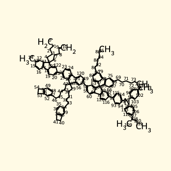 C=CCCCC1(CCCC=C)c2cc(C)ccc2-c2ccc(-c3ccc4c(c3)C(CCCCCc3ccc5c(c3)CC5)(CCCCCc3ccc5c(c3)CC5)c3cc(-c5ccc6c(c5)C(c5ccc(CCCCCC)cc5)(c5ccc(CCCCCC)cc5)c5cc(-c7ccc(N(c8ccc(C)cc8)c8ccc(C(C)CC)cc8)cc7)ccc5-6)ccc3-4)cc21